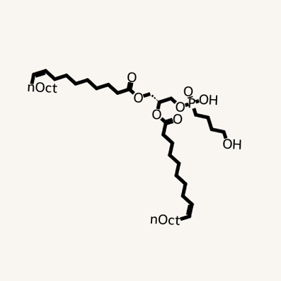 CCCCCCCC/C=C\CCCCCCCC(=O)OC[C@H](COP(=O)(O)CCCCO)OC(=O)CCCCCCC/C=C\CCCCCCCC